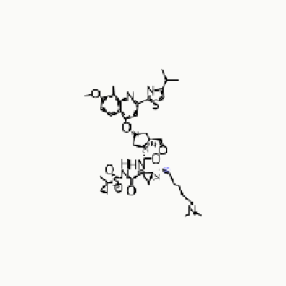 COc1ccc2c(O[C@H]3C[C@@H](C=O)[C@H](C(=O)N[C@]4(C(=O)NS(=O)(=O)C5(C)CC5)C[C@H]4/C=C\CCCCN(C)C)C3)cc(-c3nc(C(C)C)cs3)nc2c1C